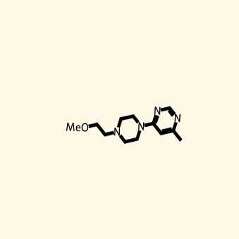 COCCN1CCN(c2cc(C)ncn2)CC1